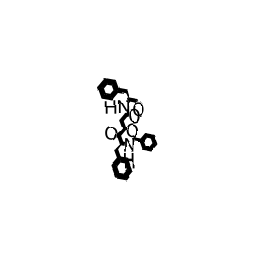 O=C[C@H](Cc1ccccc1)NC(=O)CCC(=O)[C@H](Cc1ccccc1)NC(=O)c1ccccc1